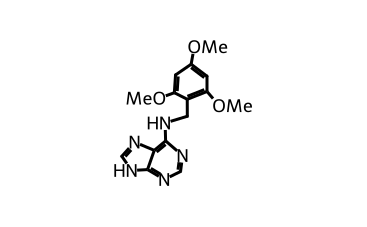 COc1cc(OC)c(CNc2ncnc3[nH]cnc23)c(OC)c1